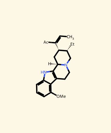 C/C=C(/C(C)=O)[C@H]1C[C@@H]2c3[nH]c4cccc(OC)c4c3CCN2C[C@H]1CC